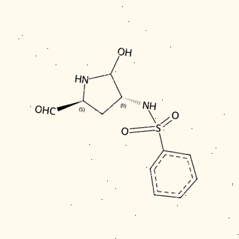 O=C[C@@H]1C[C@@H](NS(=O)(=O)c2ccccc2)C(O)N1